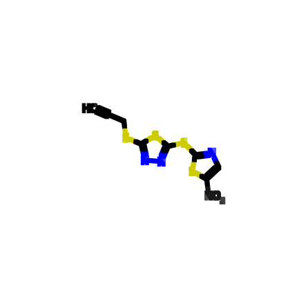 C#CCSc1nnc(Sc2ncc([N+](=O)[O-])s2)s1